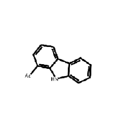 [Ac][c]1cccc2c1[nH]c1ccccc12